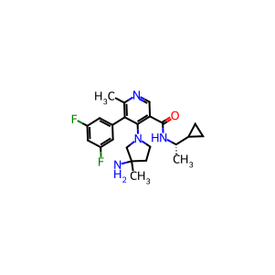 Cc1ncc(C(=O)N[C@@H](C)C2CC2)c(N2CCC(C)(N)C2)c1-c1cc(F)cc(F)c1